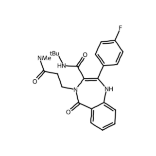 CNC(=O)CCN1C(=O)c2ccccc2NC(c2ccc(F)cc2)=C1C(=O)NC(C)(C)C